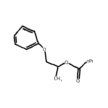 CCCC(=O)OC(C)COc1ccccc1